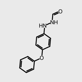 O=CNNc1ccc(Oc2ccccc2)cc1